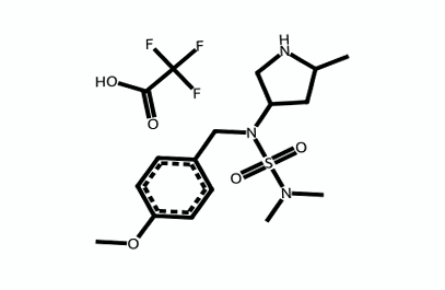 COc1ccc(CN(C2CNC(C)C2)S(=O)(=O)N(C)C)cc1.O=C(O)C(F)(F)F